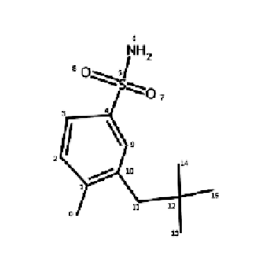 Cc1ccc(S(N)(=O)=O)cc1CC(C)(C)C